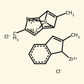 CC1=CC2=C3C(C)=C(C2=N1)[Si]3(C)C.CC1=Cc2ccccc2[CH]1[Zr+2].[Cl-].[Cl-]